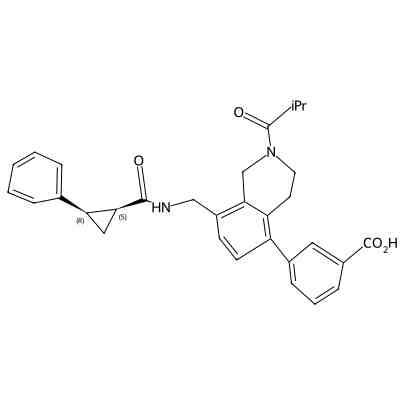 CC(C)C(=O)N1CCc2c(-c3cccc(C(=O)O)c3)ccc(CNC(=O)[C@H]3C[C@H]3c3ccccc3)c2C1